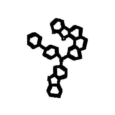 c1ccc(-c2ccc(N(c3ccc4c(c3)sc3ccccc34)c3ccc4ccc5ccc6c7cccnc7oc6c5c4c3)cc2)cc1